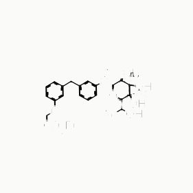 CCOC(=O)COc1cccc(Cc2cccc(O[C@H]3O[C@H](C(O)C(C)=O)[C@](O)(C(C)=O)[C@@](O)(C(C)=O)[C@@]3(O)C(C)=O)c2)c1